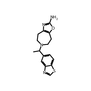 CC(c1ccc2scnc2c1)N1CCc2nc(N)oc2CC1